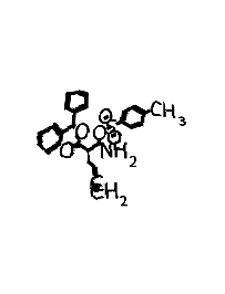 C=C=CC[C@@H](C(=O)OC(c1ccccc1)c1ccccc1)C(N)OS(=O)(=O)c1ccc(C)cc1